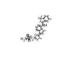 CC1(C)C[C@@H](Nc2ncnc3c2ccn3[C@H]2CC[C@H](COS(N)(=O)=O)C2)c2ccccc21